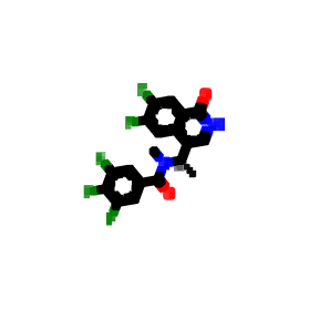 C[C@@H](c1c[nH]c(=O)c2cc(F)c(F)cc12)N(C)C(=O)c1cc(F)c(F)c(F)c1